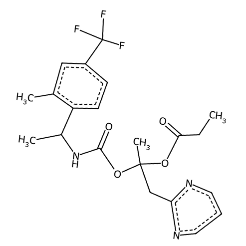 CCC(=O)OC(C)(Cc1ncccn1)OC(=O)NC(C)c1ccc(C(F)(F)F)cc1C